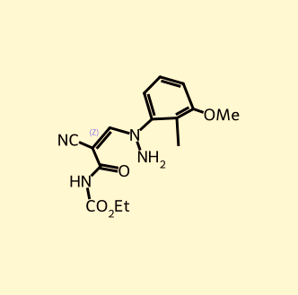 CCOC(=O)NC(=O)/C(C#N)=C\N(N)c1cccc(OC)c1C